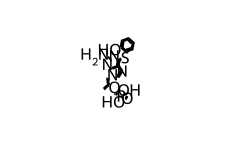 CC(Cn1cnc2c(Sc3ccccc3O)nc(N)nc21)OCP(=O)(O)O